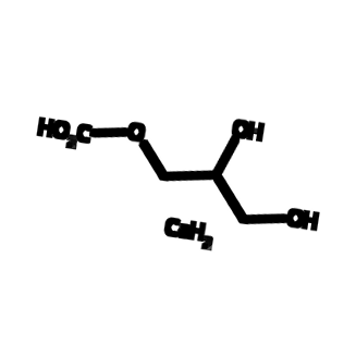 O=C(O)OCC(O)CO.[CaH2]